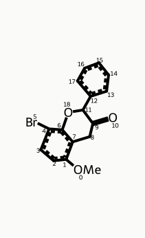 COc1ccc(Br)c2c1CC(=O)C(c1ccccc1)O2